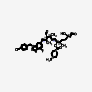 C/C(=C\c1cc(F)c2nnn(Cc3ccc(Cl)cc3)c2c1)[C@@H](C=O)[C@@H](C)/C=C/[C@H](OC(=O)N1CCN(C)CC1)[C@@H](C)CC[C@@H](O)CC=O